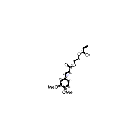 C=CC(=O)OCCOC(=O)/C=C/c1ccc(OC)c(OC)c1